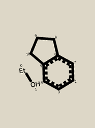 CCO.c1ccc2c(c1)CCC2